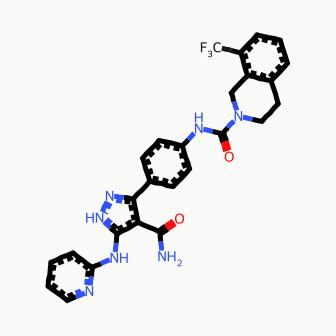 NC(=O)c1c(-c2ccc(NC(=O)N3CCc4cccc(C(F)(F)F)c4C3)cc2)n[nH]c1Nc1ccccn1